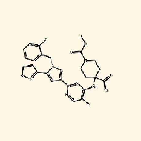 COC(=O)N1CCC(Nc2nc(-c3cc(-c4ccon4)n(Cc4ccccc4F)n3)ncc2F)(C(=O)O)CC1